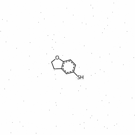 Sc1ccc2c(c1)CCO2